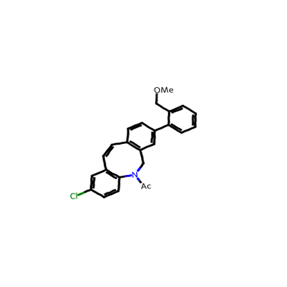 COCc1ccccc1-c1ccc2c(c1)CN(C(C)=O)c1ccc(Cl)cc1C=C2